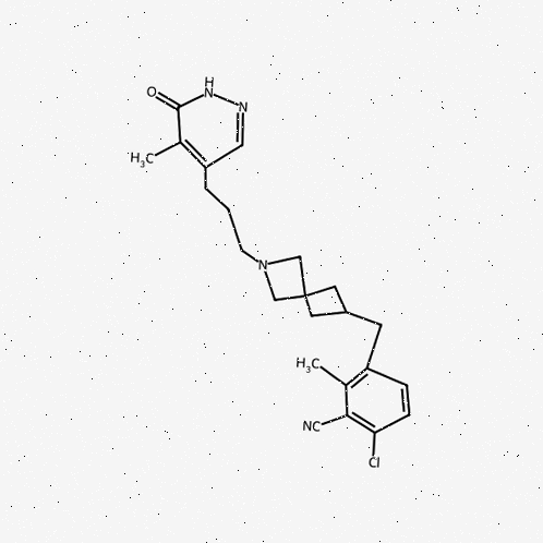 Cc1c(CC2CC3(C2)CN(CCCc2cn[nH]c(=O)c2C)C3)ccc(Cl)c1C#N